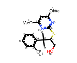 COc1cc(OC)nc(SC(CO)C(C)(C)c2ccccc2C(F)(F)F)n1